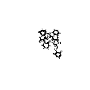 Cc1cccc(C)c1OCC(=O)NC(Cc1ccccc1)C(O)CC(Cc1ccccc1)NC(=O)C(C(C)C)N1CCCCC1=O